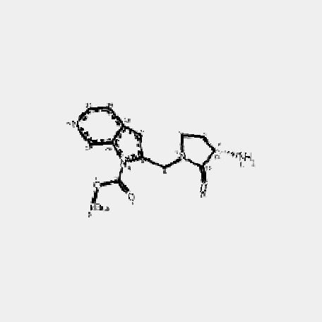 CC(C)(C)OC(=O)n1c(CN2CC[C@H](N)C2=O)cc2ccncc21